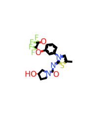 Cc1cn(-c2ccc3c(c2)OC(F)(F)C(F)(F)O3)c(=NC(=O)N2CC[C@H](O)C2)s1